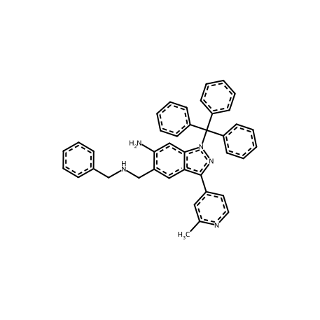 Cc1cc(-c2nn(C(c3ccccc3)(c3ccccc3)c3ccccc3)c3cc(N)c(CNCc4ccccc4)cc23)ccn1